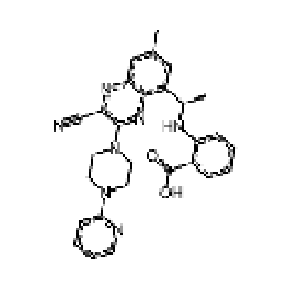 Cc1cc([C@@H](C)Nc2ccccc2C(=O)O)c2nc(N3CCN(c4ccccn4)CC3)c(C#N)nc2c1